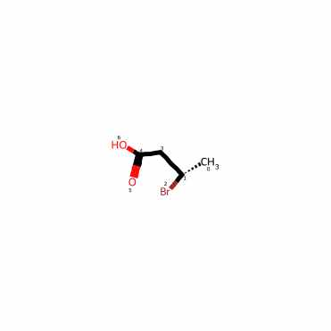 C[C@H](Br)CC(=O)O